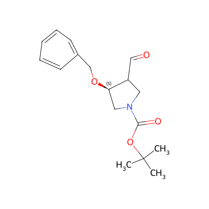 CC(C)(C)OC(=O)N1CC(C=O)[C@H](OCc2ccccc2)C1